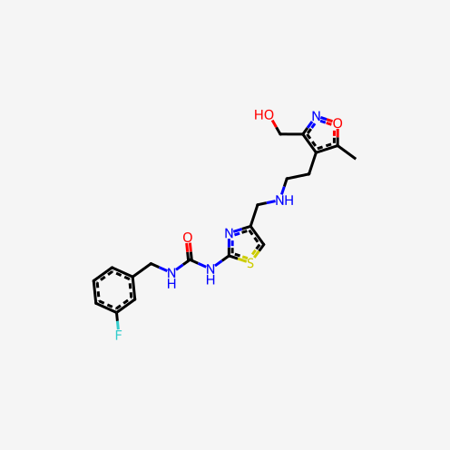 Cc1onc(CO)c1CCNCc1csc(NC(=O)NCc2cccc(F)c2)n1